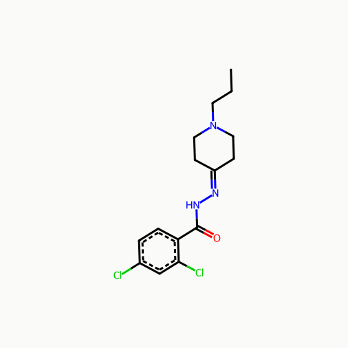 CCCN1CCC(=NNC(=O)c2ccc(Cl)cc2Cl)CC1